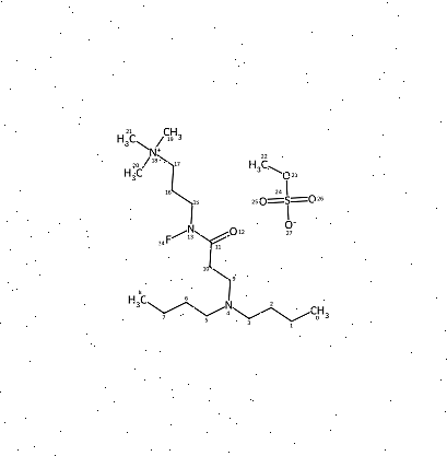 CCCCN(CCCC)CCC(=O)N(F)CCC[N+](C)(C)C.COS(=O)(=O)[O-]